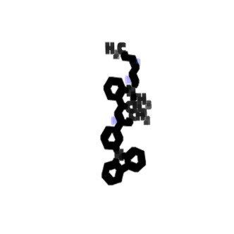 C=C/C=C\C=C\N(C)C1=C(C(C)/C=C(\C=C)c2cccc(-n3c4ccccc4c4ccccc43)c2)CCC=C1